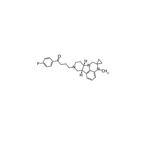 CN1c2cccc3c2N(CC12CC2)[C@H]1CCN(CCCC(=O)c2ccc(F)cc2)C[C@@H]31